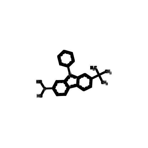 CC(C)(C)c1ccc2c3ccc(B(O)O)cc3n(-c3ccccc3)c2c1